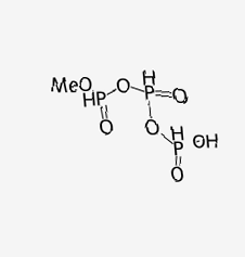 CO[PH](=O)O[PH](=O)O[PH](=O)O